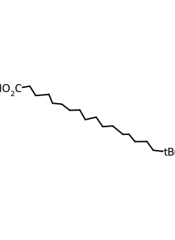 [CH2]C([CH2])([CH2])CCCCCCCCCCCCCCCCC(=O)O